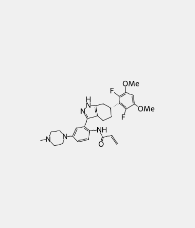 C=CC(=O)Nc1ccc(N2CCN(C)CC2)cc1-c1n[nH]c2c1CC[C@@H](c1c(F)c(OC)cc(OC)c1F)C2